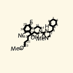 CNC[C@H](CC1CCCCC1)NC(=O)N1CCC[C@@H]([C@@](O)(CCCCOC)c2cc(F)ccc2C#N)C1